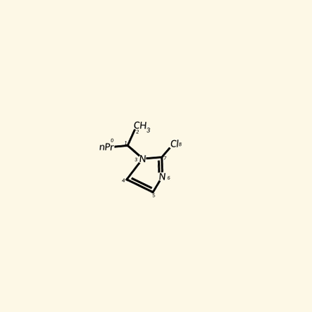 CCCC(C)n1ccnc1Cl